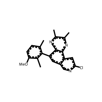 COc1ccc(C)c(-c2cc3cnc(Cl)cc3c3nc(C)c(C)nc23)c1C